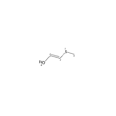 CS/C=C/O